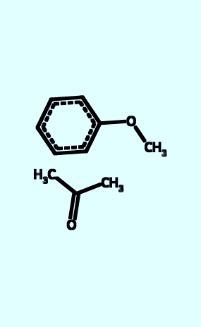 CC(C)=O.COc1ccccc1